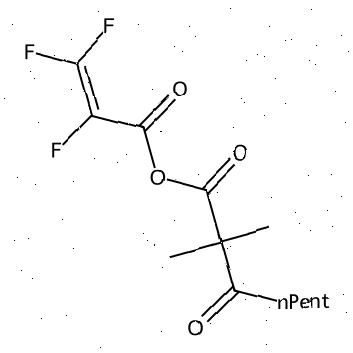 CCCCCC(=O)C(C)(C)C(=O)OC(=O)C(F)=C(F)F